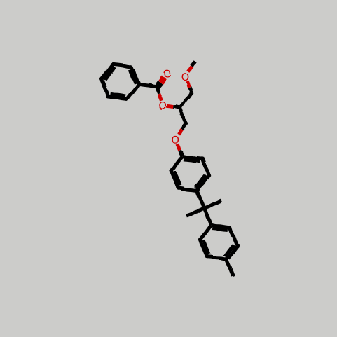 COCC(COc1ccc(C(C)(C)c2ccc(C)cc2)cc1)OC(=O)c1ccccc1